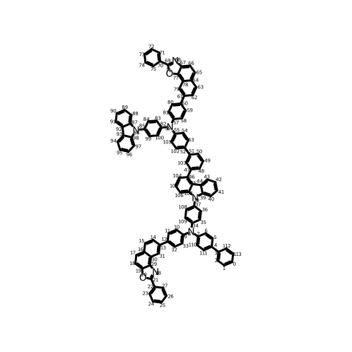 c1ccc(-c2ccc(N(c3ccc(-c4ccc5ccc6oc(-c7ccccc7)nc6c5c4)cc3)c3ccc(-n4c5ccccc5c5c(-c6cccc(-c7ccc(N(c8ccc(-c9ccc%10ccc%11nc(-c%12ccccc%12)oc%11c%10c9)cc8)c8ccc(-n9c%10ccccc%10c%10ccccc%109)cc8)cc7)c6)cccc54)cc3)cc2)cc1